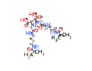 C=C(C)C(=O)NCCCCNC(=O)CN(CC(=O)O)CN(CC(=O)O)CC(=O)NCCCCNC(=O)C(=C)C